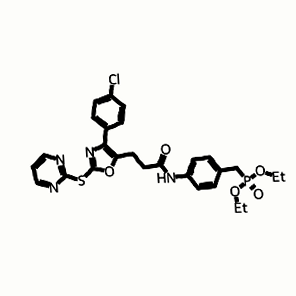 CCOP(=O)(Cc1ccc(NC(=O)CCc2oc(Sc3ncccn3)nc2-c2ccc(Cl)cc2)cc1)OCC